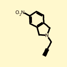 C#CCN1Cc2ccc([N+](=O)[O-])cc2C1